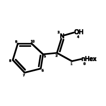 CCCCCCCC(=NO)c1ccccc1